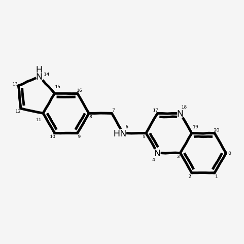 c1ccc2nc(NCc3ccc4cc[nH]c4c3)cnc2c1